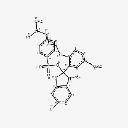 COc1ccc(OCCCN(OC(C)=O)C(C)C)c(C2(OS(=O)(=O)c3ccc(C)cc3)Sc3cc(Cl)ccc3N2C(C)=O)c1